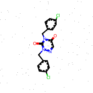 O=c1cnn(Cc2ccc(Cl)cc2)c(=O)n1Cc1ccc(Cl)cc1